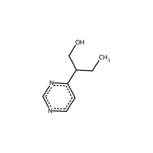 CCC(CO)c1ccncn1